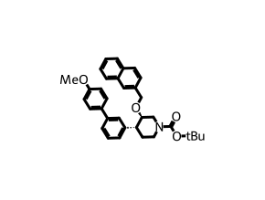 COc1ccc(-c2cccc([C@H]3CCN(C(=O)OC(C)(C)C)C[C@@H]3OCc3ccc4ccccc4c3)c2)cc1